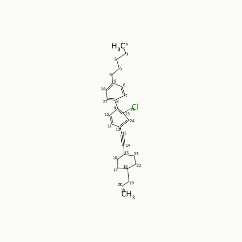 CCCCCc1ccc(-c2ccc(C#CC3CCC(CCC)CC3)cc2Cl)cc1